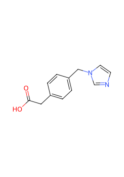 O=C(O)Cc1ccc(Cn2ccnc2)cc1